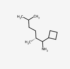 CC(C)CC[C@@H](C)C(N)C1CCC1